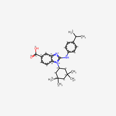 CC(C)c1ccc(Nc2nc3cc(C(=O)O)ccc3n2C2CC(C)(C)CC(C)(C)C2)cc1